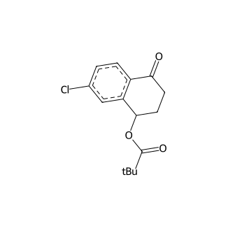 CC(C)(C)C(=O)OC1CCC(=O)c2ccc(Cl)cc21